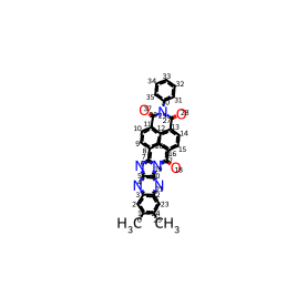 Cc1cc2nc3nc4c5ccc6c7c(ccc(c(=O)n4c3nc2cc1C)c75)C(=O)N(c1ccccc1)C6=O